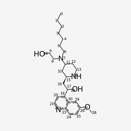 CCCCCCCN(CCO)C1CCN[C@@H](CC(O)c2ccnc3ccc(OC)cc23)C1